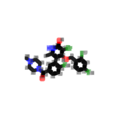 Cc1[nH]c(=O)c(Br)c(OCc2ccc(F)cc2F)c1-c1cc(C(=O)N2CCN(C)CC2)ccc1F